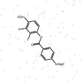 CCCCCCCCc1ccc(OC(=O)c2ccc(CCCCCCC)cc2)c(F)c1F